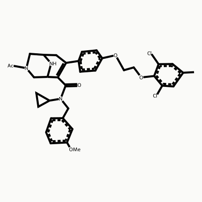 COc1cccc(CN(C(=O)C2=C(c3ccc(OCCOc4c(Cl)cc(C)cc4Cl)cc3)CC3CN(C(C)=O)CC2N3)C2CC2)c1